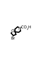 O=C(O)N1CCC2(CC1)C[C@H](Br)CO2